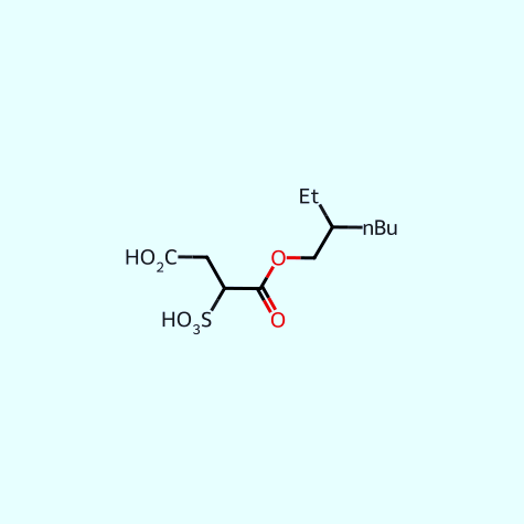 CCCCC(CC)COC(=O)C(CC(=O)O)S(=O)(=O)O